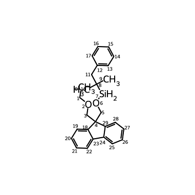 CCOCC1(CO[SiH2]C(C)(C)Cc2ccccc2)c2ccccc2-c2ccccc21